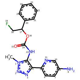 Cn1nnc(-c2ccc(N)cn2)c1NC(=O)OC(CF)c1ccccc1